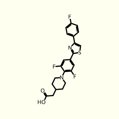 O=C(O)CC1CCN(c2c(F)cc(-c3nc(-c4ccc(F)cc4)cs3)cc2F)CC1